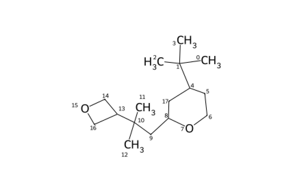 CC(C)(C)C1CCOC(CC(C)(C)C2COC2)C1